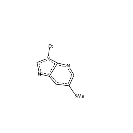 CCn1cnc2cc(SC)cnc21